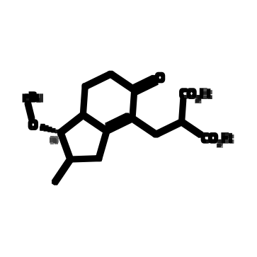 CCCCO[C@H]1C(C)CC2=C(CC(C(=O)OCC)C(=O)OCC)C(=O)CCC21